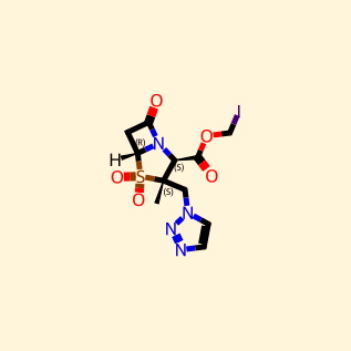 C[C@]1(Cn2ccnn2)[C@H](C(=O)OCI)N2C(=O)C[C@H]2S1(=O)=O